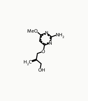 C=C(CO)COc1cc(OC)nc(N)n1